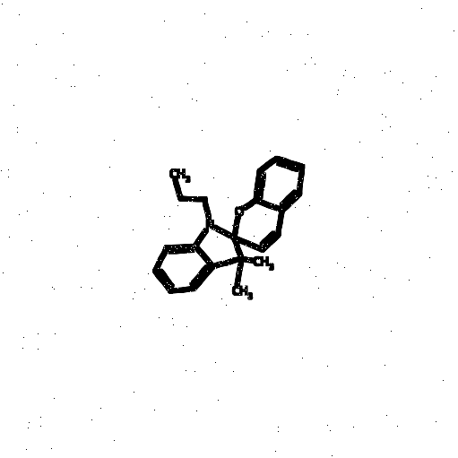 CCCN1c2ccccc2C(C)(C)C12C=Cc1ccccc1O2